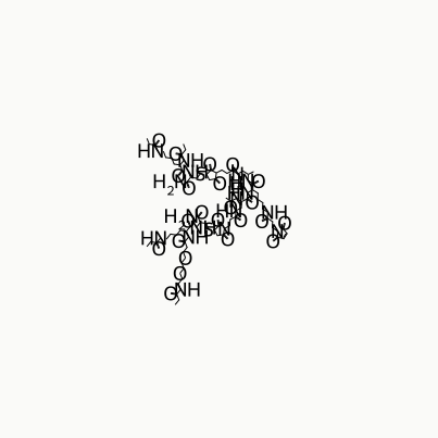 CCC(=O)NCCCCC(NC(=O)CC)C(=O)NC(CSC1CC(=O)C(CCC(=O)NCC(C)NC(=O)C(CCCCNC(=O)CCN2C(=O)C=CC2=O)NC(=O)C(CNC(=O)CCN2C(=O)CC(SCC(NC(=O)C(CCCCNC(=O)CC)NC(=O)CCOCCOCCNC(=O)CC)C(N)=O)C2=O)NC(C)=O)C1=O)C(N)=O